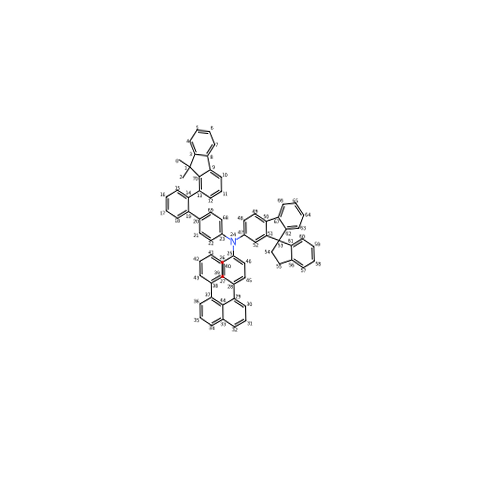 CC1(C)c2ccccc2-c2cccc(-c3ccccc3-c3ccc(N(c4ccc(-c5cccc6cccc(-c7ccccc7)c56)cc4)c4ccc5c(c4)C4(CCc6ccccc64)c4ccccc4-5)cc3)c21